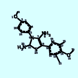 COc1ccc(N2C(N)=C(c3cc(C)c(OC)c(C)n3)SC2N)cc1